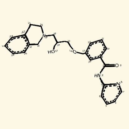 O=C(Nc1ccccn1)c1cccc(OCC(O)CN2CCc3ccccc3C2)c1